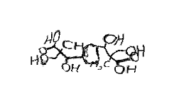 CC(CO)(C(=O)O)C(O)c1ccc(C(O)C(C)(CO)C(=O)O)cc1